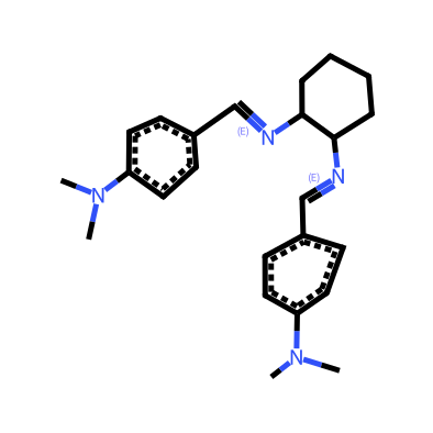 CN(C)c1ccc(/C=N/C2CCCCC2/N=C/c2ccc(N(C)C)cc2)cc1